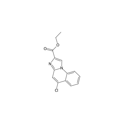 CCOC(=O)c1cn2c(cc(Cl)c3ccccc32)n1